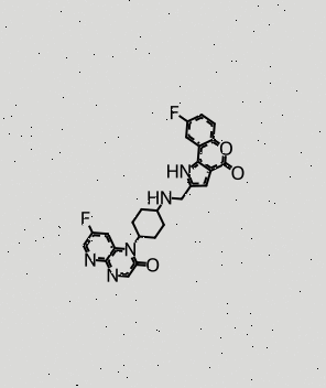 O=c1oc2ccc(F)cc2c2[nH]c(CNC3CCC(n4c(=O)cnc5ncc(F)cc54)CC3)cc12